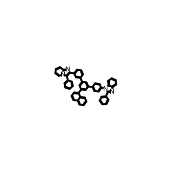 c1ccc(-c2nc3ccccc3n2-c2ccc(-c3cc(-c4cccc(-c5nc6ccccn6c5-c5ccccc5)c4)cc(-c4cccc5ccccc45)c3)cc2)cc1